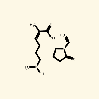 C=CN1CCCC1=O.CC(=CCCCN(C)C)C(N)=O